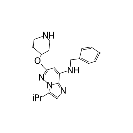 CC(C)c1cnc2c(NCc3ccccc3)cc(OC3CCNCC3)nn12